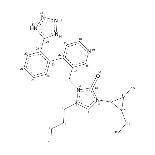 CCCCc1cn(C2C(C)C2CC)c(=O)n1Cc1cnccc1-c1ccccc1-c1nnn[nH]1